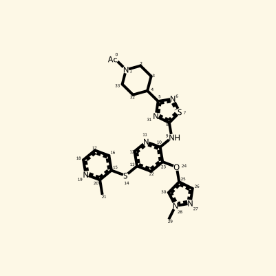 CC(=O)N1CCC(c2nsc(Nc3ncc(Sc4cccnc4C)cc3Oc3cnn(C)c3)n2)CC1